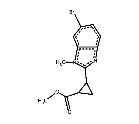 COC(=O)C1CC1c1nc2ccc(Br)cc2n1C